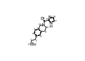 CC(C)(C)CCc1ccc2c(c1)CCN(C(=O)c1ncc[nH]1)C2